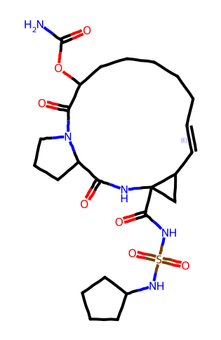 NC(=O)OC1CCCCC/C=C/C2CC2(C(=O)NS(=O)(=O)NC2CCCC2)NC(=O)C2CCCN2C1=O